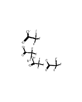 O=C(O)C(F)(F)F.O=C([O-])C(F)(F)F.O=C([O-])C(F)(F)F.O=C([O-])C(F)(F)F.[B+3]